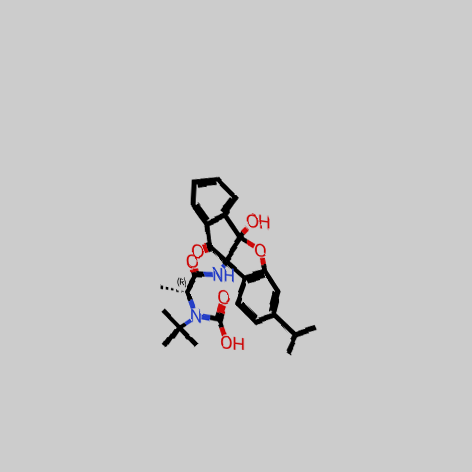 CC(C)c1ccc2c(c1)OC1(O)c3ccccc3C(=O)C21NC(=O)[C@@H](C)N(C(=O)O)C(C)(C)C